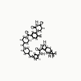 C[C@@]12Cc3[nH]nc(C(=O)Nc4cnn(CC5CCN(CC6CCN(C(=O)c7ccc(F)c(N8CCC(=O)NC8=O)c7)CC6)CC5)c4)c3C[C@@H]1C2(F)F